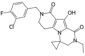 CCN1CC2(CC2)n2c3c(c(O)c2C1=O)C(=O)N(Cc1ccc(F)c(Cl)c1)CC3